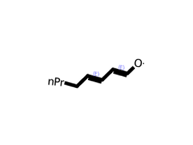 CCCC/C=C/C=C/[O]